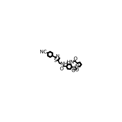 N#Cc1ccc(-c2ncc(CNC(=O)c3ccc4c(c3)NC(=O)c3cccn3S4(=O)=O)s2)cc1